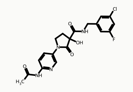 CC(=O)Nc1ccc(N2CCC(O)(C(=O)NCc3cc(F)cc(Cl)c3)C2=O)cn1